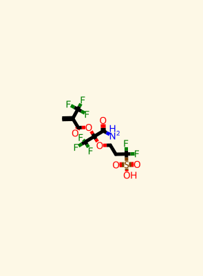 C=C(C(=O)OC(OCCC(F)(F)S(=O)(=O)O)(C(N)=O)C(F)(F)F)C(F)(F)F